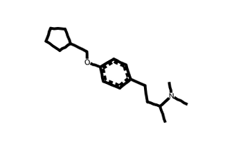 CC(CCc1ccc(OCC2CCCC2)cc1)N(C)C